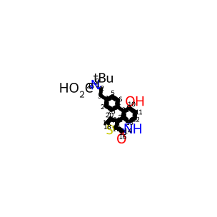 CC(C)(C)N(CCc1ccc(-c2c(O)ccc3[nH]c(=O)c4sccc4c23)cc1)C(=O)O